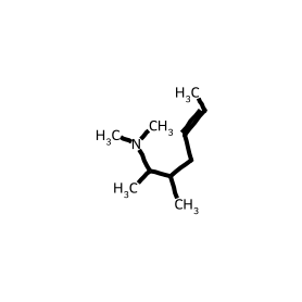 CC=CCC(C)C(C)N(C)C